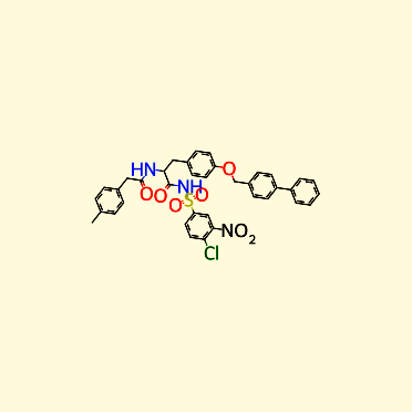 Cc1ccc(CC(=O)NC(Cc2ccc(OCc3ccc(-c4ccccc4)cc3)cc2)C(=O)NS(=O)(=O)c2ccc(Cl)c([N+](=O)[O-])c2)cc1